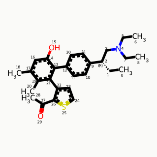 CC[C@@H](CN(CC)CC)c1ccc(-c2c(O)cc(C)c(C)c2-c2ccsc2C(C)=O)cc1